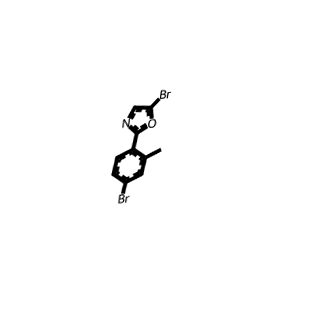 Cc1cc(Br)ccc1-c1ncc(Br)o1